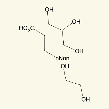 CCCCCCCCCCCC(=O)O.OCC(O)CO.OCCO